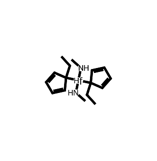 CC[C]1([Hf]([NH]C)([NH]C)[C]2(CC)C=CC=C2)C=CC=C1